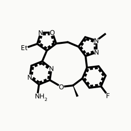 CCc1noc2c1-c1cnc(N)c(n1)O[C@H](C)c1cc(F)ccc1-c1nn(C)cc1C2